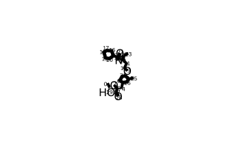 CCO[C@@H](Cc1ccc(OCCc2nc(-c3ccccc3)oc2C)c(C)c1)C(=O)O